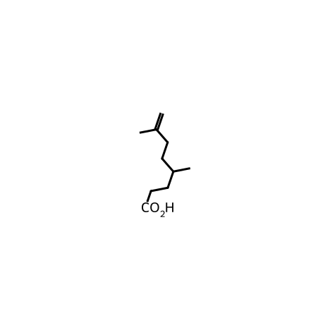 C=C(C)CCC(C)CCC(=O)O